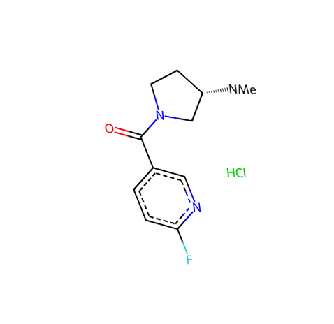 CN[C@H]1CCN(C(=O)c2ccc(F)nc2)C1.Cl